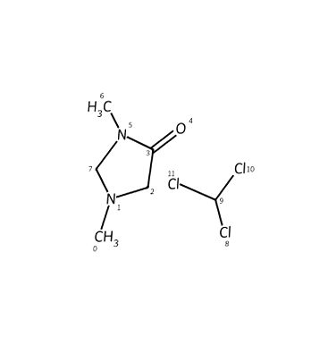 CN1CC(=O)N(C)C1.ClC(Cl)Cl